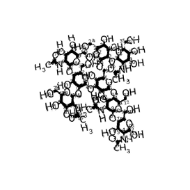 CC(=O)N[C@@H]1[C@@H](O)[C@H](O[C@@H]2O[C@H](CO)[C@@H](O[C@@H]3O[C@H](CO[C@H]4O[C@H](CO)[C@@H](O)[C@H](O)[C@@H]4O[C@@H]4O[C@H](CO)[C@@H](O)[C@H](O)[C@H]4NC(C)=O)[C@@H](O)[C@H](O[C@H]4O[C@H](CO)[C@@H](O[C@@H]5O[C@H](CO)[C@@H](O)[C@H](O)[C@H]5NC(C)=O)[C@H](O)[C@@H]4O[C@@H]4O[C@H](CO)[C@@H](O)[C@H](O)[C@H]4NC(C)=O)[C@@H]3O)[C@H](O)[C@H]2NC(C)=O)[C@@H](CO)O[C@H]1O